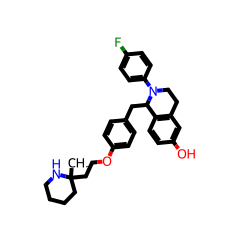 CC1(CCOc2ccc(CC3c4ccc(O)cc4CCN3c3ccc(F)cc3)cc2)CCCCN1